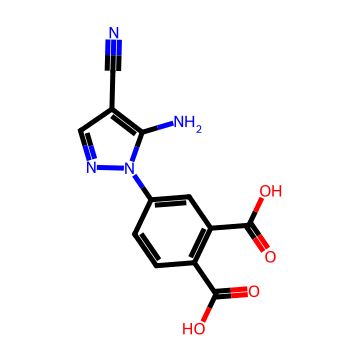 N#Cc1cnn(-c2ccc(C(=O)O)c(C(=O)O)c2)c1N